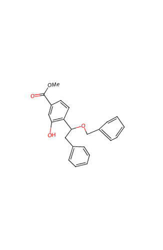 COC(=O)c1ccc(C(Cc2ccccc2)OCc2ccccc2)c(O)c1